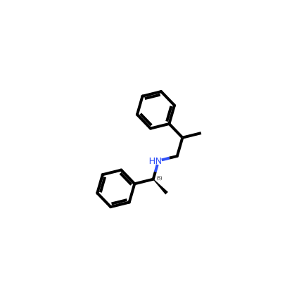 CC(CN[C@@H](C)c1ccccc1)c1ccccc1